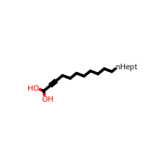 CCCCCCCCCCCCCCCC#CC(O)O